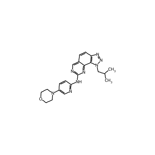 CC(C)Cn1nnc2ccc3cnc(Nc4ccc(N5CCOCC5)cn4)nc3c21